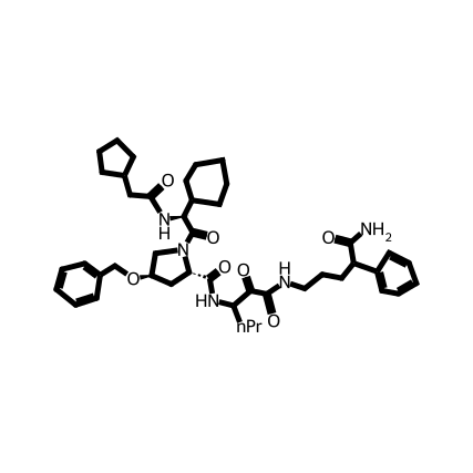 CCCC(NC(=O)[C@@H]1C[C@@H](OCc2ccccc2)CN1C(=O)[C@@H](NC(=O)CC1CCCC1)C1CCCCC1)C(=O)C(=O)NCCCC(C(N)=O)c1ccccc1